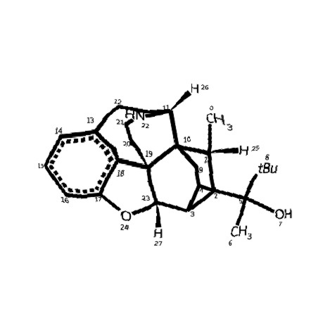 C[C@@H]1CC2C(C(C)(O)C(C)(C)C)CC13[C@H]1Cc4cccc5c4[C@@]3(CCN1)[C@H]2O5